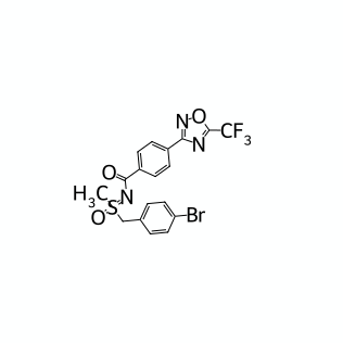 CS(=O)(Cc1ccc(Br)cc1)=NC(=O)c1ccc(-c2noc(C(F)(F)F)n2)cc1